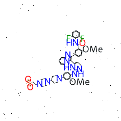 COc1cc(N2CCC(N3CCN(CCS(C)(=O)=O)CC3)CC2)ccc1NC1N=CC=C(c2c(-c3ccc(OC)c(C(=O)Nc4c(F)cccc4F)c3)nc3ccccn23)N1